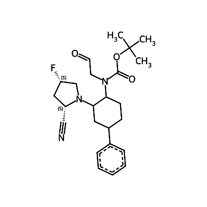 CC(C)(C)OC(=O)N(CC=O)C1CCC(c2ccccc2)CC1N1C[C@@H](F)C[C@H]1C#N